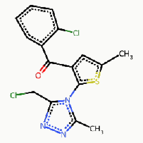 Cc1cc(C(=O)c2ccccc2Cl)c(-n2c(C)nnc2CCl)s1